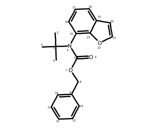 CC(C)(C)N(C(=O)OCc1ccccc1)c1cccc2ccoc12